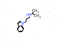 CC(C)NCCCn1ccc2ccccc21